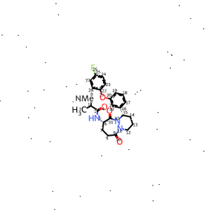 CNC(C)C(=O)N[C@H]1CCC(=O)N2CCC[C@@H](c3cccc(Oc4ccc(F)cc4)c3)N2C1=O